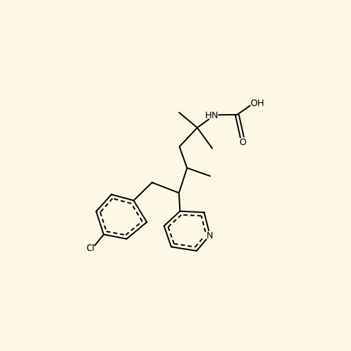 CC(CC(C)(C)NC(=O)O)C(Cc1ccc(Cl)cc1)c1cccnc1